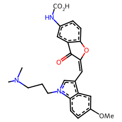 COc1ccc2c(c1)c(C=C1Oc3ccc(NC(=O)O)cc3C1=O)cn2CCCN(C)C